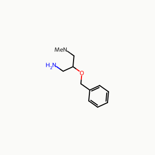 CNCC(CN)OCc1ccccc1